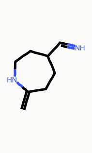 C=C1CCC(C=N)CCN1